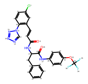 O=C(C=Cc1cc(Cl)ccc1-n1cnnn1)NC(Cc1ccccc1)C(=O)Nc1ccc(OC(F)(F)F)cc1